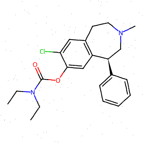 CCN(CC)C(=O)Oc1cc2c(cc1Cl)CCN(C)C[C@H]2c1ccccc1